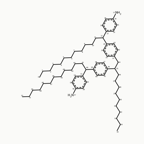 CCCCCCCCCCCCC(c1ccc(N)cc1)c1ccc(CC(CCCCCCCCCC)c2ccc(C(CCCCCCCCCCCC)c3ccc(N)cc3)cc2)cc1